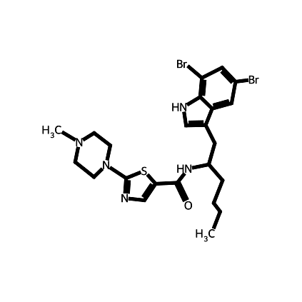 CCCCC(Cc1c[nH]c2c(Br)cc(Br)cc12)NC(=O)c1cnc(N2CCN(C)CC2)s1